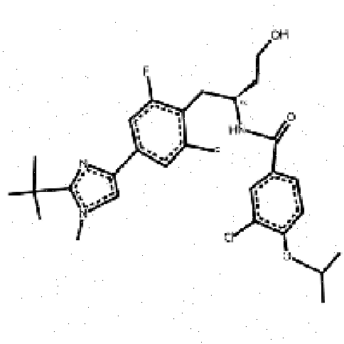 CC(C)Oc1ccc(C(=O)N[C@H](CCO)Cc2c(F)cc(-c3cn(C)c(C(C)(C)C)n3)cc2F)cc1Cl